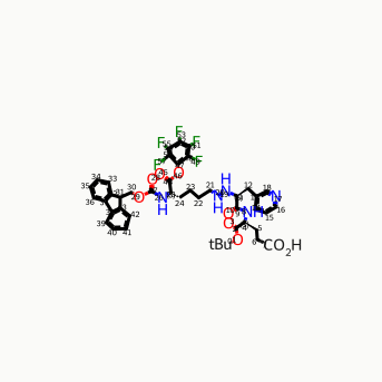 CC(C)(C)OC(=O)[C@H](CCC(=O)O)NC(=O)[C@H](Cc1cccnc1)NNCCCC[C@H](NC(=O)OCC1c2ccccc2-c2ccccc21)C(=O)Oc1c(F)c(F)c(F)c(F)c1F